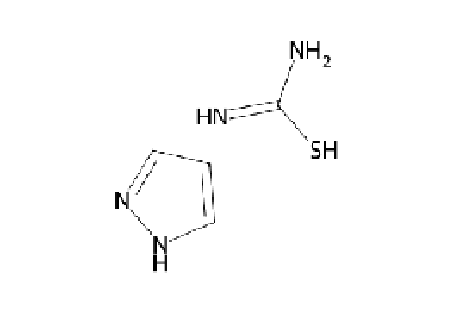 N=C(N)S.c1cn[nH]c1